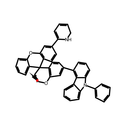 C1=CCNC(c2ccc3c(c2)Oc2ccccc2C32c3ccccc3Oc3cc(-c4cccc5c4c4ccccc4n5-c4ccccc4)ccc32)=C1